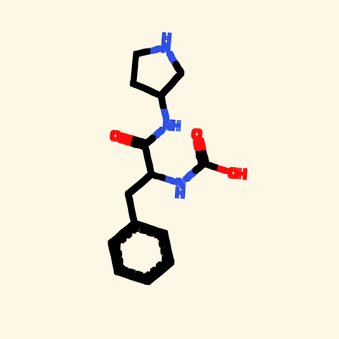 O=C(O)NC(Cc1ccccc1)C(=O)NC1CCNC1